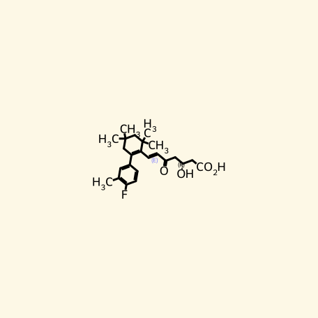 Cc1cc(C2=C(/C=C/C(=O)C[C@@H](O)CC(=O)O)C(C)(C)CC(C)(C)C2)ccc1F